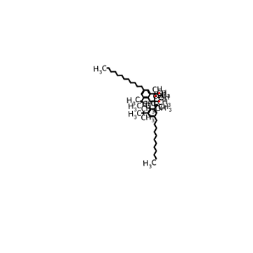 CCCCCCCCCCCCc1cc(C(C)(C)C)c(OC(c2c(C(C)(C)C)cc(CCCCCCCCCCCC)cc2C(C)(C)C)C(CO)(CO)CO)c(C(C)(C)C)c1